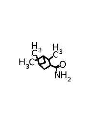 CC1C(C(N)=O)CC2CC1C2(C)C